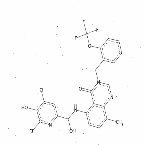 Cc1ccc(NC(O)c2cc(Cl)c(O)c(Cl)n2)c2c(=O)n(Cc3ccccc3OC(F)(F)F)cnc12